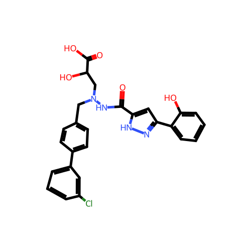 O=C(NN(Cc1ccc(-c2cccc(Cl)c2)cc1)CC(O)C(=O)O)c1cc(-c2ccccc2O)n[nH]1